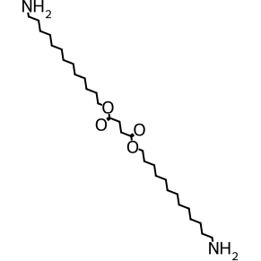 NCCCCCCCCCCCCCOC(=O)CCC(=O)OCCCCCCCCCCCCCN